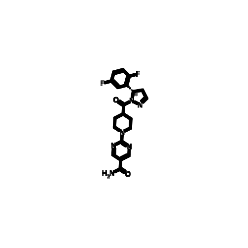 NC(=O)c1cnc(N2CCC(C(=O)N3N=CC[C@H]3c3cc(F)ccc3F)CC2)nc1